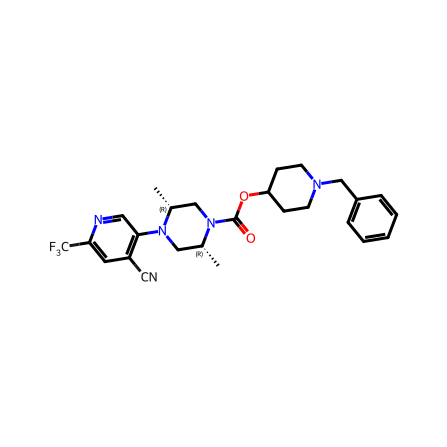 C[C@@H]1CN(c2cnc(C(F)(F)F)cc2C#N)[C@H](C)CN1C(=O)OC1CCN(Cc2ccccc2)CC1